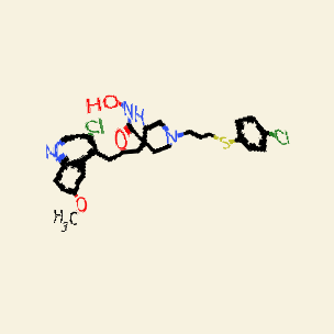 COc1ccc2ncc(Cl)c(CCCC3(C(=O)NO)CCN(CCCSc4ccc(Cl)cc4)CC3)c2c1